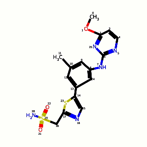 COc1ccnc(Nc2cc(C)cc(-c3cnc(CS(N)(=O)=O)s3)c2)n1